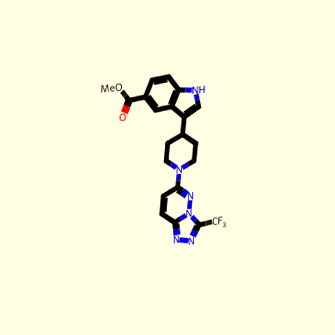 COC(=O)c1ccc2[nH]cc(C3CCN(c4ccc5nnc(C(F)(F)F)n5n4)CC3)c2c1